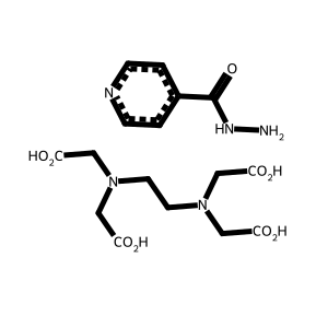 NNC(=O)c1ccncc1.O=C(O)CN(CCN(CC(=O)O)CC(=O)O)CC(=O)O